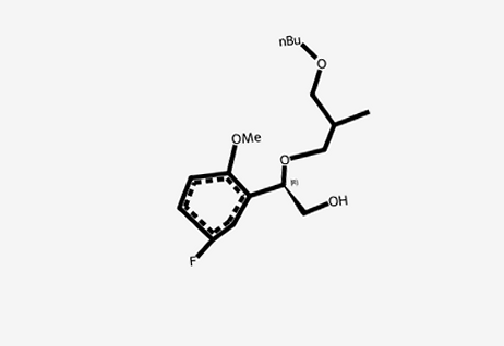 CCCCOCC(C)CO[C@@H](CO)c1cc(F)ccc1OC